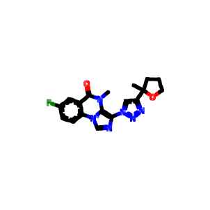 CN1C(=O)c2cc(F)ccc2[N+]2C=NC(n3cc(C4(C)CCCO4)nn3)=C12